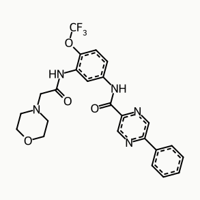 O=C(CN1CCOCC1)Nc1cc(NC(=O)c2cnc(-c3ccccc3)cn2)ccc1OC(F)(F)F